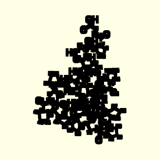 O=C(O)CNC(=O)[C@@H]1CCCN1C(=O)[C@H](CS)NC(=O)CNC(=O)[C@H](CS)NC(=O)[C@@H]1CCCN1C(=O)CNC(=O)[C@@H]1CCCN1C(=O)[C@@H]1CCCN1C(=O)CNC(=O)[C@@H]1CCCN1C(=O)[C@@H]1CCCN1C(=O)CNC(=O)[C@@H]1CCCN1C(=O)[C@@H]1CCCN1C(=O)CNC(=O)[C@@H]1CCCN1C(=O)[C@@H]1CCCN1C(=O)CNC(=O)[C@@H]1CCCN1C(=O)[C@@H]1CCCN1